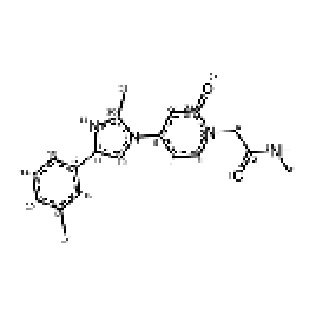 CNC(=O)Cn1ccc(-n2cc(-c3cccc(C)c3)nc2C)cc1=O